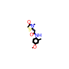 COc1ccc(NC(=O)/C=C2\SCC(=O)N2C)c(C)c1